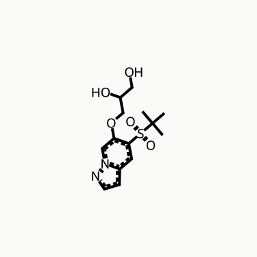 CC(C)(C)S(=O)(=O)c1cc2ccnn2cc1OCC(O)CO